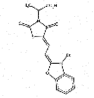 CCN1C(=CC=C2SC(=S)N(C(C)C(=O)O)C2=O)Oc2ccccc21